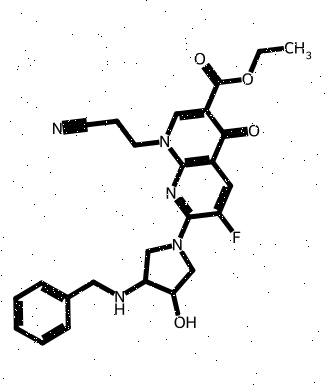 CCOC(=O)c1cn(CCC#N)c2nc(N3CC(O)C(NCc4ccccc4)C3)c(F)cc2c1=O